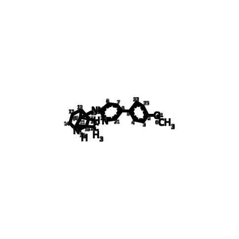 COc1ccc(-c2ccc(N[C@H]3C4CCN(CC4)[C@@H]3C)nc2)cc1